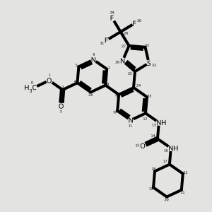 COC(=O)c1cncc(-c2cnc(NC(=O)NC3CCCCC3)cc2-c2nc(C(F)(F)F)cs2)c1